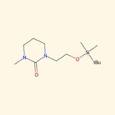 CN1CCCN(CCO[Si](C)(C)C(C)(C)C)C1=O